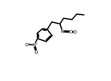 [CH2]CCCC(Cc1ccc([N+](=O)[O-])cc1)N=C=O